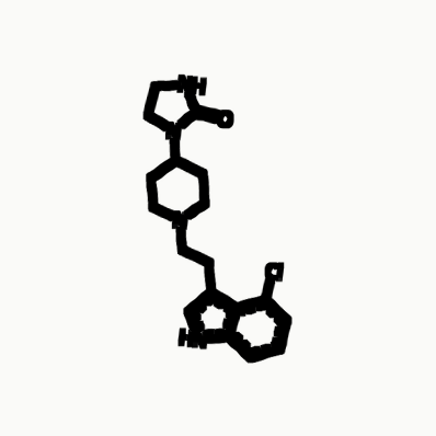 O=C1NCCN1C1CCN(CCc2c[nH]c3cccc(Cl)c23)CC1